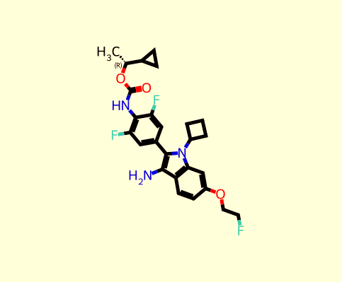 C[C@@H](OC(=O)Nc1c(F)cc(-c2c(N)c3ccc(OCCF)cc3n2C2CCC2)cc1F)C1CC1